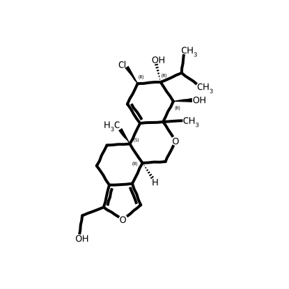 CC(C)[C@]1(O)[C@H](Cl)C=C2C(C)(OC[C@H]3c4coc(CO)c4CC[C@]23C)[C@@H]1O